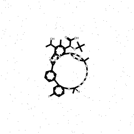 Cc1c([C@H](OC(C)(C)C)C(=O)O)c2n3cc(nc3c1C(C)O)-c1cccc(c1)-c1cc(F)ccc1O[C@@H](C)CCCCOC1(C)CCN2CC1